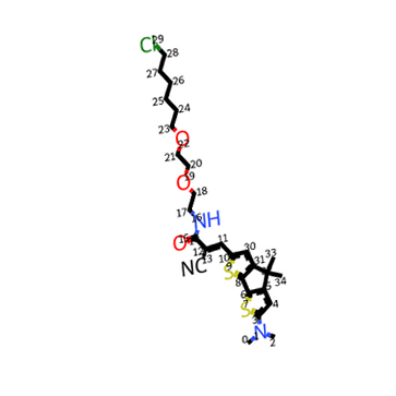 CN(C)c1cc2c(s1)-c1sc(/C=C(\C#N)C(=O)NCCOCCOCCCCCCCl)cc1C2(C)C